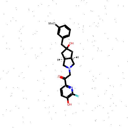 COc1cccc(CC2(O)C[C@H]3CN(CC(=O)c4ccc(O)c(F)n4)C[C@H]3C2)c1